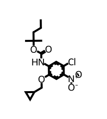 CCCC(C)(C)OC(=O)Nc1cc(Cl)c([N+](=O)[O-])cc1OCC1CC1